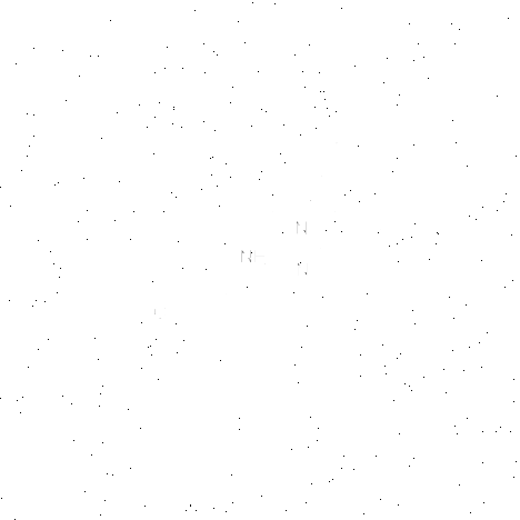 c1ccc(Oc2ccc(NCc3cn(C(c4ccccc4)(c4ccccc4)c4ccccc4)cn3)cc2)cc1